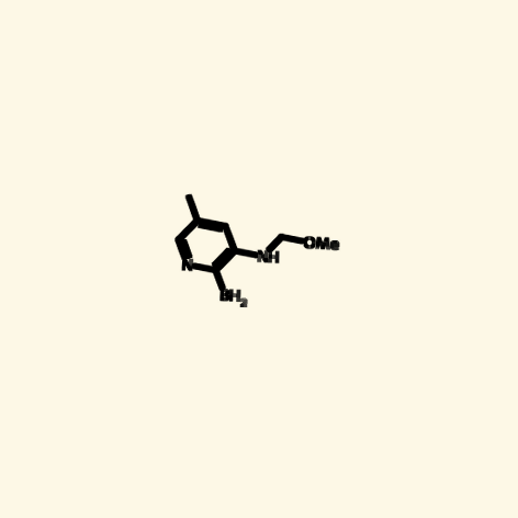 Bc1ncc(C)cc1NCOC